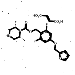 C[C@@H]1CNC[C@H](C)N1C(=O)OCc1c(F)cc(OCc2cccs2)cc1F.O=C(O)C=CC(=O)O